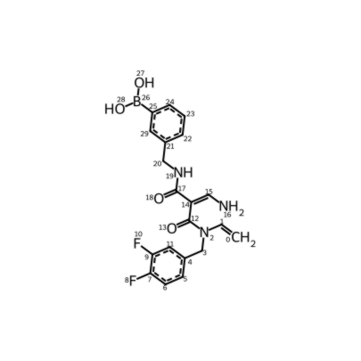 C=CN(Cc1ccc(F)c(F)c1)C(=O)/C(=C\N)C(=O)NCc1cccc(B(O)O)c1